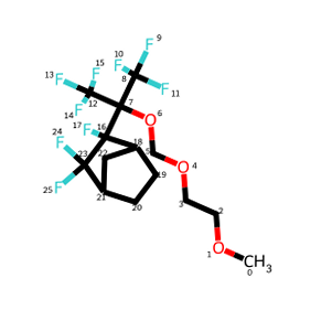 COCCOCOC(C(F)(F)F)(C(F)(F)F)C1(F)C2CCC(C2)C1(F)F